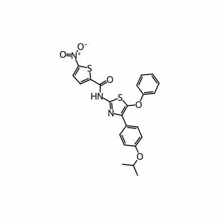 CC(C)Oc1ccc(-c2nc(NC(=O)c3ccc([N+](=O)[O-])s3)sc2Oc2ccccc2)cc1